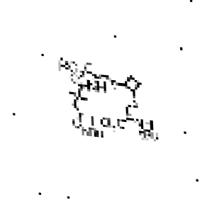 CCCCOCCC(C)(C)C(=O)NC(CSC1CCC1SCC(NC(C)(C)C)C(=O)O)C(=O)O